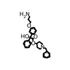 NCCCOc1cccc([C@](O)(C(=O)OC2CCN(Cc3ccccc3)CC2)c2ccccc2)c1